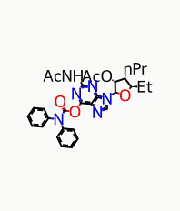 CCC[C@H]1[C@@H](OC(C)=O)[C@H](n2cnc3c(OC(=O)N(c4ccccc4)c4ccccc4)nc(NC(C)=O)nc32)O[C@@H]1CC